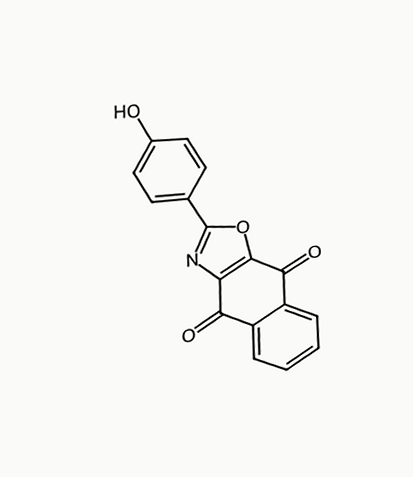 O=C1c2ccccc2C(=O)c2oc(-c3ccc(O)cc3)nc21